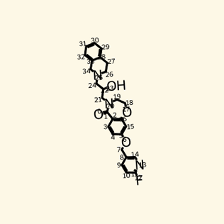 O=C1c2ccc(OCc3ccc(F)nc3)cc2OCCN1CC(O)CN1CCc2ccccc2C1